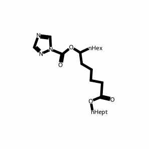 CCCCCCCOC(=O)CCCCC(CCCCCC)OC(=O)n1cncn1